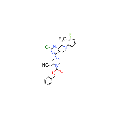 N#CCC1CN(c2nc(Cl)nc3c2CCN(c2cccc(F)c2C(F)(F)F)C3)CCN1C(=O)OCc1ccccc1